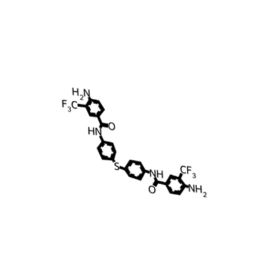 Nc1ccc(C(=O)Nc2ccc(Sc3ccc(NC(=O)c4ccc(N)c(C(F)(F)F)c4)cc3)cc2)cc1C(F)(F)F